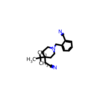 CC(C)(C)C1(CC#N)CCN(Cc2ccccc2C#N)CC1